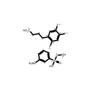 CC(=O)Nc1cccc([As](=O)(O)OO)c1.O=C(O)CCCc1cc(F)c(F)cc1F